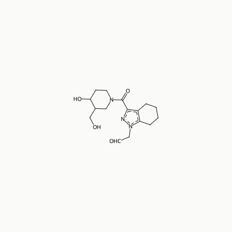 O=CCn1nc(C(=O)N2CCC(O)C(CO)C2)c2c1CCCC2